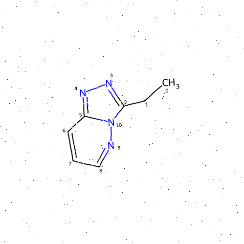 CCc1nnc2cc[c]nn12